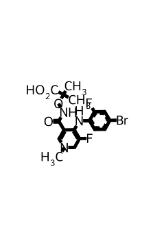 CN1C=C(C(=O)NOC(C)(C)C(=O)O)C(Nc2ccc(Br)cc2F)=C(F)C1